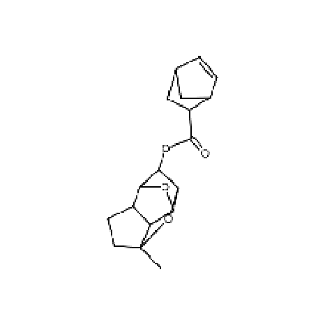 CC12CCC3C4OC(C(O1)C4OC(=O)C1CC4C=CC1C4)C32